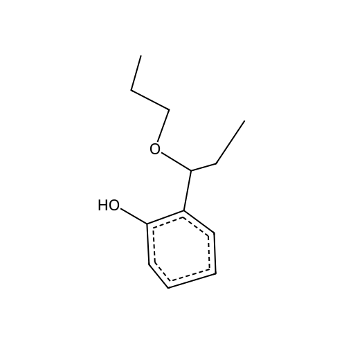 CCCOC(CC)c1ccccc1O